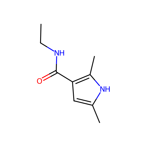 CCNC(=O)c1cc(C)[nH]c1C